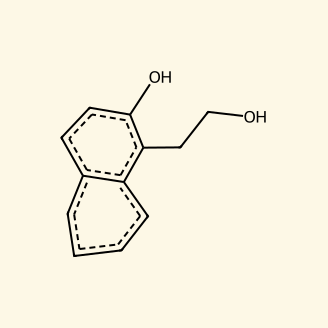 OCCc1c(O)ccc2ccccc12